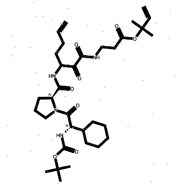 C=CCCC(NC(=O)[C@@H]1CCCN1C(=O)[C@@H](NC(=O)OC(C)(C)C)C1CCCCC1)C(=O)C(=O)NCCC(=O)OC(C)(C)C=C